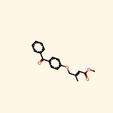 COC(=O)C=C(C)COc1ccc(C(=O)c2ccccc2)cc1